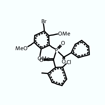 COc1cc(Br)c(OC)c(P(=O)(C(=O)c2ccccc2)C(=O)c2c(C)cccc2Cl)c1OC